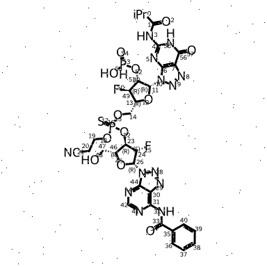 CC(C)C(=O)Nc1nc2c(nnn2[C@@H]2O[C@H](COP(=S)(OCCC#N)O[C@H]3[C@H](F)[C@H](n4nnc5c(NC(=O)c6ccccc6)ncnc54)O[C@@H]3CO)[C@@H](F)[C@@H]2O[PH](=O)O)c(=O)[nH]1